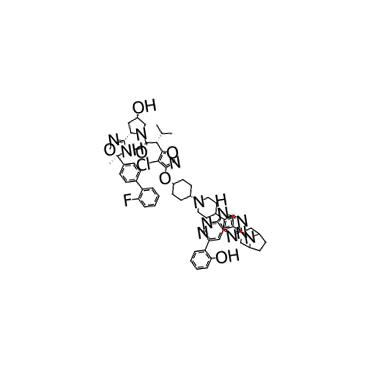 CC(C)[C@@H](C(=O)N1C[C@H](O)C[C@H]1C1=NO[C@](C)(c2ccc(-c3ccccc3F)cc2)N1)c1onc(O[C@H]2CC[C@@H](N3CCC(c4cnc(N5C6CCC5CN(c5c[nH]c7nnc(-c8ccccc8O)cc57)C6)nc4)CC3)CC2)c1Cl